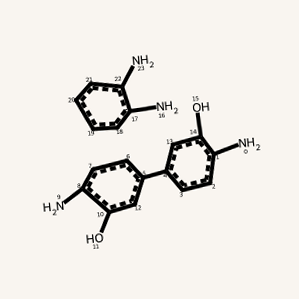 Nc1ccc(-c2ccc(N)c(O)c2)cc1O.Nc1ccccc1N